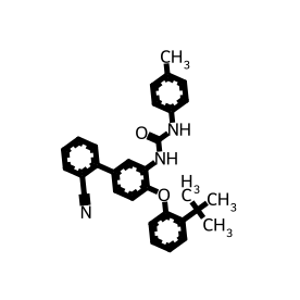 Cc1ccc(NC(=O)Nc2cc(-c3ccccc3C#N)ccc2Oc2ccccc2C(C)(C)C)cc1